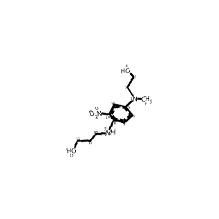 CN(CCO)c1ccc(NCCCO)c([N+](=O)[O-])c1